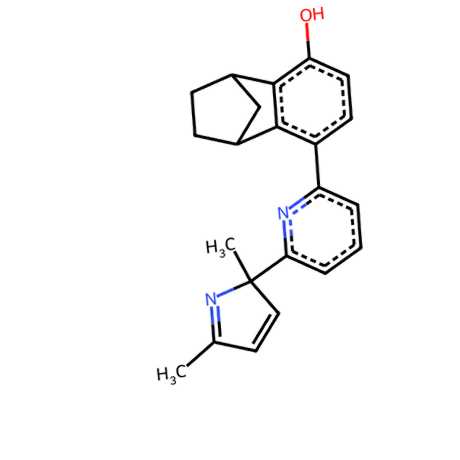 CC1=NC(C)(c2cccc(-c3ccc(O)c4c3C3CCC4C3)n2)C=C1